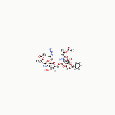 CCC(=O)O[C@H](CC)CC(=O)NC1[C@H](OCCN=[N+]=[N-])OC(CO[C@@H]2OC3COC(c4ccccc4)O[C@H]3[C@H](O)C2NC(=O)C[C@@H](CC)OC(=O)CC)[C@@H](C)[C@@H]1O